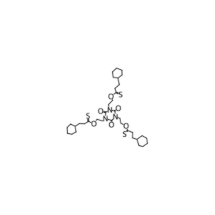 O=c1n(CCOC(=S)CCC2CCCCC2)c(=O)n(CCOC(=S)CCC2CCCCC2)c(=O)n1CCOC(=S)CCC1CCCCC1